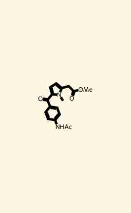 COC(=O)Cc1ccc(C(=O)c2ccc(NC(C)=O)cc2)n1C